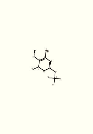 CCC1=C(O)C=C(CC(C)(C)C)CC1C